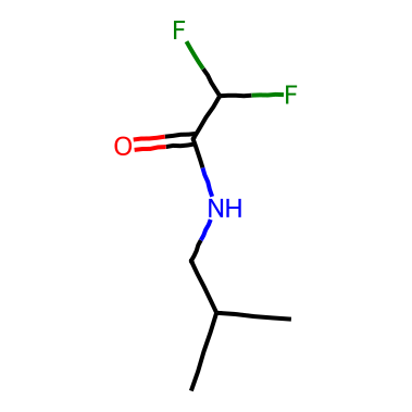 CC(C)CNC(=O)C(F)F